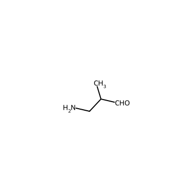 CC(C=O)CN